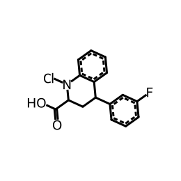 O=C(O)C1CC(c2cccc(F)c2)c2ccccc2N1Cl